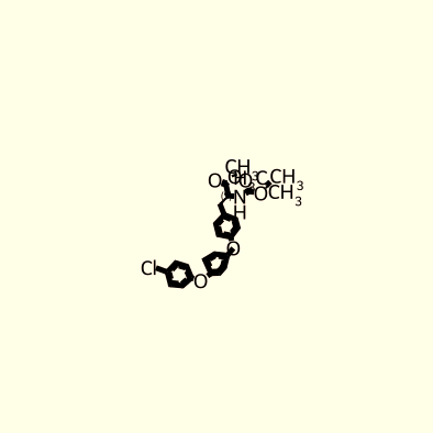 COC(=O)[C@H](Cc1ccc(Oc2ccc(Oc3ccc(Cl)cc3)cc2)cc1)NC(=O)OC(C)(C)C